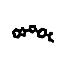 COC(=O)c1ccc(-n2cc(-c3nc4ccccc4o3)cn2)cc1